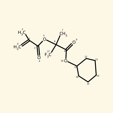 C=C(C)C(=O)OC(C)(C(=O)OC1CCCCC1)C(F)(F)F